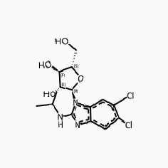 CC(C)Nc1nc2cc(Cl)c(Cl)cc2n1[C@@H]1O[C@@H](CO)[C@H](O)[C@H]1O